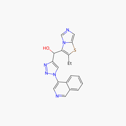 CCc1sc2cncn2c1C(O)c1cn(-c2cncc3ccccc23)nn1